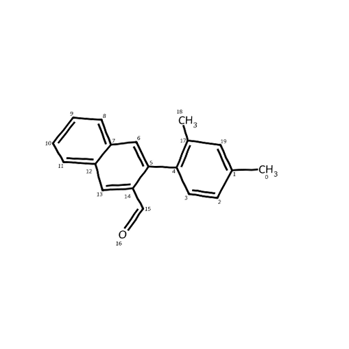 Cc1ccc(-c2cc3ccccc3cc2C=O)c(C)c1